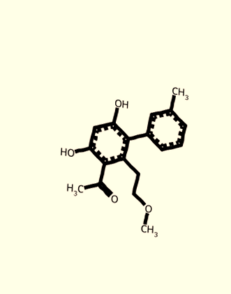 COCCc1c(C(C)=O)c(O)cc(O)c1-c1cccc(C)c1